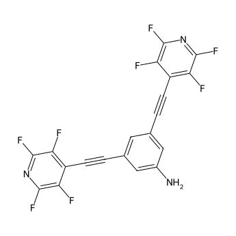 Nc1cc(C#Cc2c(F)c(F)nc(F)c2F)cc(C#Cc2c(F)c(F)nc(F)c2F)c1